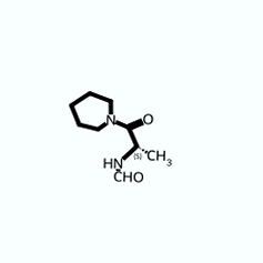 C[C@H](NC=O)C(=O)N1CCCCC1